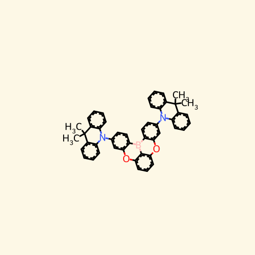 CC1(C)c2ccccc2N(c2ccc3c(c2)Oc2cccc4c2B3c2ccc(N3c5ccccc5C(C)(C)c5ccccc53)cc2O4)c2ccccc21